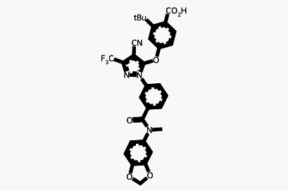 CN(C(=O)c1cccc(-n2nc(C(F)(F)F)c(C#N)c2Oc2ccc(C(=O)O)c(C(C)(C)C)c2)c1)c1ccc2c(c1)OCO2